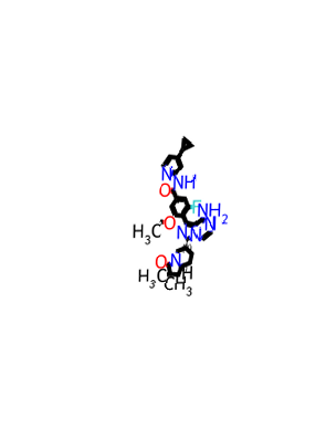 CCOc1cc(C(=O)Nc2cc(C3CC3)ccn2)cc(F)c1-c1nc([C@@H]2CC[C@H]3CC(C)(C)C(=O)N3C2)n2ccnc(N)c12